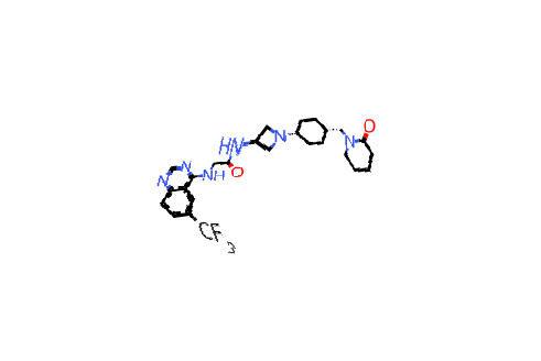 O=C(CNc1ncnc2ccc(C(F)(F)F)cc12)NC1CN([C@H]2CC[C@@H](CN3CCCCC3=O)CC2)C1